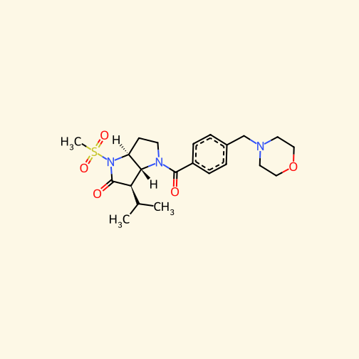 CC(C)[C@H]1C(=O)N(S(C)(=O)=O)[C@H]2CCN(C(=O)c3ccc(CN4CCOCC4)cc3)[C@H]12